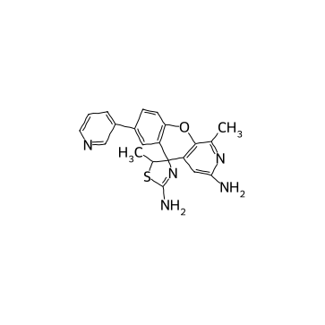 Cc1nc(N)cc2c1Oc1ccc(-c3cccnc3)cc1C21N=C(N)SC1C